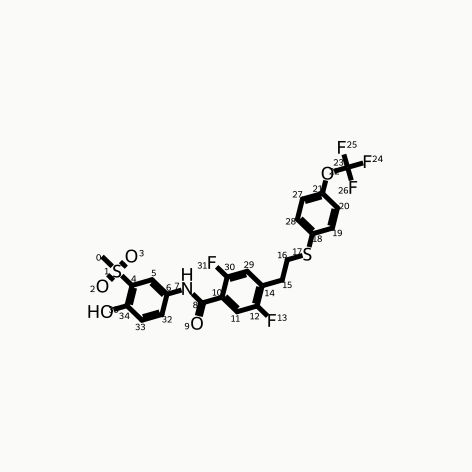 CS(=O)(=O)c1cc(NC(=O)c2cc(F)c(CCSc3ccc(OC(F)(F)F)cc3)cc2F)ccc1O